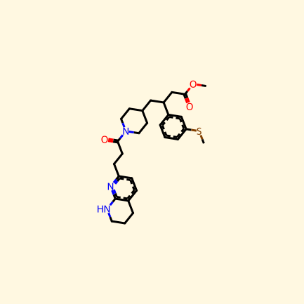 COC(=O)CC(CC1CCN(C(=O)CCc2ccc3c(n2)NCCC3)CC1)c1cccc(SC)c1